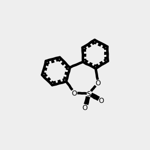 O=S1(=O)Oc2ccccc2-c2ccccc2O1